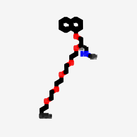 COCCOCCOCCOCCOCCO[C@@H](CNC(C)C)COc1cccc2ccccc12